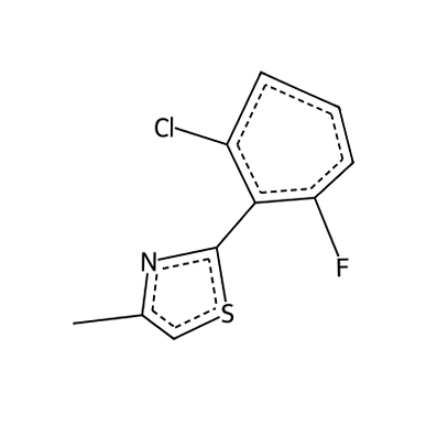 Cc1csc(-c2c(F)cccc2Cl)n1